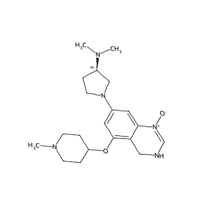 CN1CCC(Oc2cc(N3CC[C@@H](N(C)C)C3)cc3c2CNC=[N+]3[O-])CC1